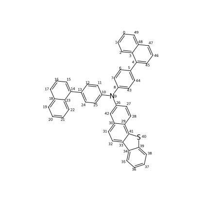 c1ccc2c(-c3ccc(N(c4ccc(-c5cccc6ccccc56)cc4)c4ccc5c(ccc6c7ccccc7sc56)c4)cc3)cccc2c1